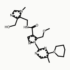 COCc1c(C(=O)NCc2c(CO)ncn2C)cnn1-c1ncc(C)c(N2CCCCC2)n1